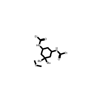 CCC(=O)NC1CC(NC(=O)CC)CC(C(C)CC)(C(C)CC)C1.[CH3][Ti][CH3]